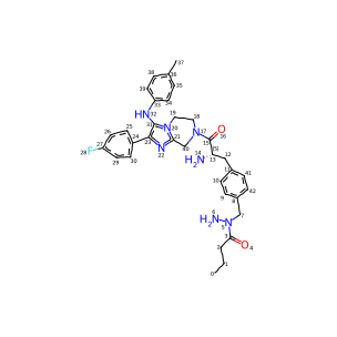 CCCC(=O)N(N)Cc1ccc(C[C@H](N)C(=O)N2CCn3c(nc(-c4ccc(F)cc4)c3Nc3ccc(C)cc3)C2)cc1